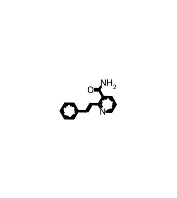 NC(=O)c1cccnc1/C=C/c1ccccc1